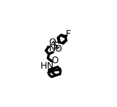 O=C(CC1CCN(S(=O)(=O)c2ccc(F)cc2)C1)NC12CC3CC(CC(C3)C1)C2